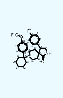 O=C1NCC(c2ccc(F)cc2)C12CCN(C1(c3ccc(OC(F)(F)F)cc3)CCCCC1)CC2